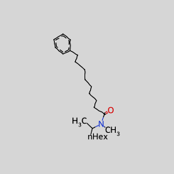 CCCCCCC(C)N(C)C(=O)CCCCCCCCc1ccccc1